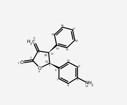 C=C1C(=O)O[C@H](c2ccc(N)cc2)[C@@H]1c1ccccc1